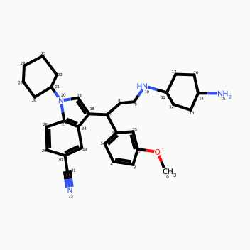 COc1cccc(C(CCNC2CCC(N)CC2)c2cn(C3CCCCC3)c3ccc(C#N)cc23)c1